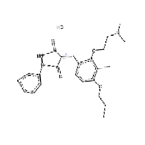 CCCOc1ccc(/C=C2/C(=O)NN(c3ccccc3)C2=O)c(OCCN(C)C)c1C.Cl